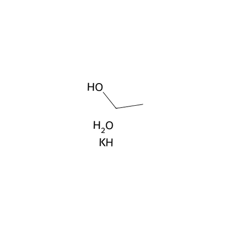 CCO.O.[KH]